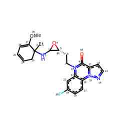 CCC1(NC2O[C@@H]2CCn2c(=O)c3ccnn3c3ccc(F)cc32)CC=CC=C1OC